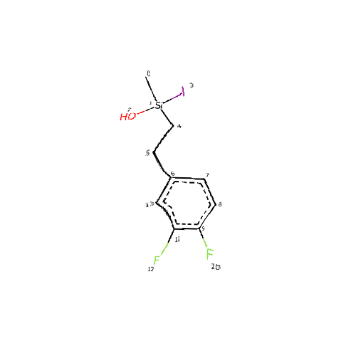 C[Si](O)(I)CCc1ccc(F)c(F)c1